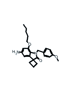 CCCCCOc1cc(N)cc2c1N(Cc1ccc(OC)cc1)C(=O)C21CCC1